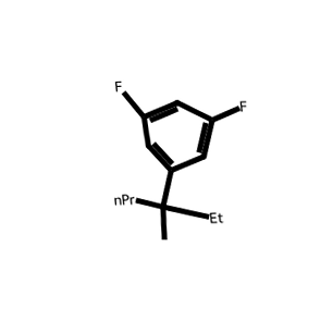 CCCC(C)(CC)c1cc(F)cc(F)c1